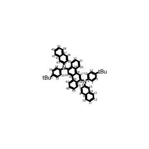 CC(C)(C)c1ccc(N(c2ccc3ccccc3c2)c2cc3c4ccccc4c(N(c4ccc(C(C)(C)C)cc4)c4ccc5ccccc5c4)cc3c3ccccc23)cc1